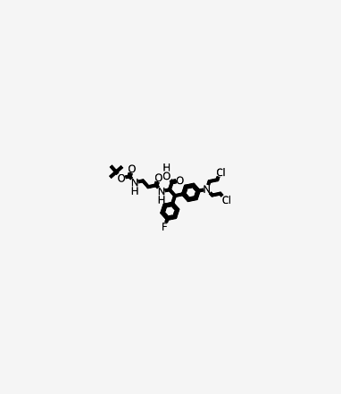 CC(C)(C)OC(=O)NCCC(=O)NC(C(=O)O)C(c1ccc(F)cc1)c1ccc(N(CCCl)CCCl)cc1